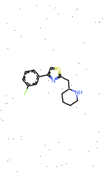 Fc1cccc(-c2csc(CC3CCCCN3)n2)c1